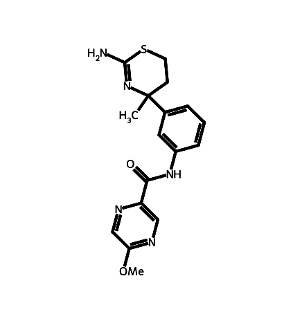 COc1cnc(C(=O)Nc2cccc(C3(C)CCSC(N)=N3)c2)cn1